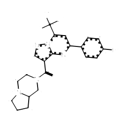 O=C(c1cnn2c(C(F)(F)F)cc(-c3ccc(Br)cc3)nc12)N1CCN2CCCC2C1